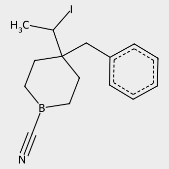 CC(I)C1(Cc2ccccc2)CCB(C#N)CC1